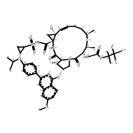 COc1ccc2c(O[C@@H]3C[C@H]4C(=O)N[C@]5(C(=O)NS(=O)(=O)C6CC6)C[C@H]5C=CCC[C@@H](C)C[C@@H](C)[C@H](NC(=O)OC(C)(C)C(F)(F)F)C(=O)N4C3)nc(-c3ccc(OC(C)C)cc3)cc2c1